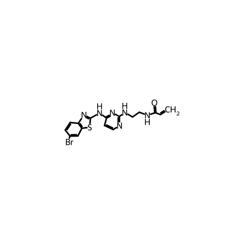 C=CC(=O)NCCNc1nccc(Nc2nc3ccc(Br)cc3s2)n1